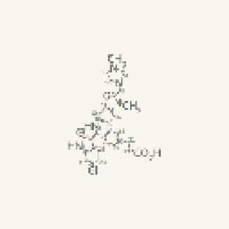 CN1CCN(CC(=O)N(C)c2ccc(N/C(=C3\C(=O)Nc4cc(Cl)ccc43)c3ccc(CCC(=O)O)cc3)cc2)CC1